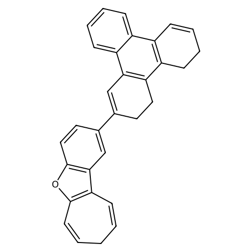 C1=Cc2oc3ccc(C4=Cc5c(c6c(c7ccccc57)C=CCC6)CC4)cc3c2C=CC1